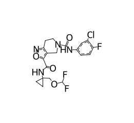 O=C(NC1(COC(F)F)CC1)c1onc2c1CN(C(=O)Nc1ccc(F)c(Cl)c1)CC2